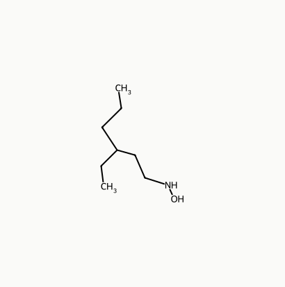 CCCC(CC)CCNO